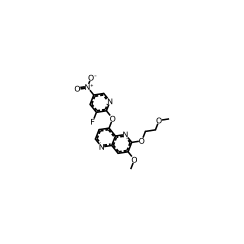 COCCOc1nc2c(Oc3ncc([N+](=O)[O-])cc3F)ccnc2cc1OC